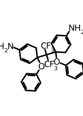 NC1=CCC(Oc2ccccc2)(C(C(F)(F)F)(C(F)(F)F)C2(Oc3ccccc3)C=CC(N)=CC2)C=C1